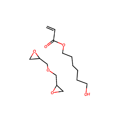 C(OCC1CO1)C1CO1.C=CC(=O)OCCCCCCO